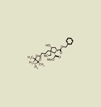 COC(=O)[C@H]1N(C(=O)OCc2ccccc2)C[C@@H](O)[C@@]1(CC#N)CCCB1OC(C)(C)C(C)(C)O1